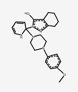 COc1ccc(N2CCN(C3(n4nc5c(c4O)CCCC5)C=CC=CN3)CC2)cc1